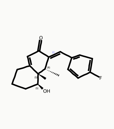 C[C@H]1/C(=C\c2ccc(F)cc2)C(=O)C=C2CCC[C@H](O)[C@]21C